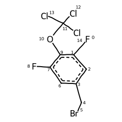 Fc1cc(CBr)cc(F)c1OC(Cl)(Cl)Cl